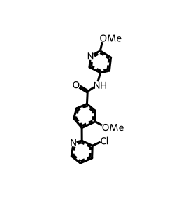 COc1ccc(NC(=O)c2ccc(-c3ncccc3Cl)c(OC)c2)cn1